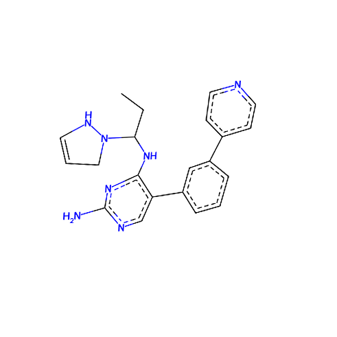 CCC(Nc1nc(N)ncc1-c1cccc(-c2ccncc2)c1)N1CC=CN1